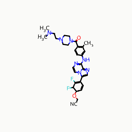 Cc1cc(Nc2nccn3c(C4=C(F)C(F)C(OCC#N)C=C4)cnc23)ccc1C(=O)N1CCN(CCN(C)C)CC1